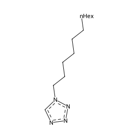 CCCCCCCCCCCCn1cnnn1